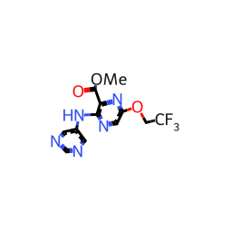 COC(=O)c1nc(OCC(F)(F)F)cnc1Nc1cncnc1